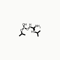 CC(C)OP(O)ONC(N)=[SH]C(C)C